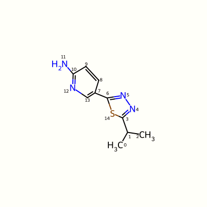 CC(C)c1nnc(-c2ccc(N)nc2)s1